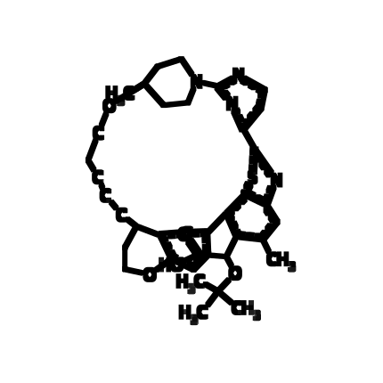 Cc1cc2nc3sc2c(c1C(OC(C)(C)C)C(=O)O)-c1ccc2c(c1)C(CCCCCOC1(C)CCN(CC1)c1nccc-3n1)CCO2